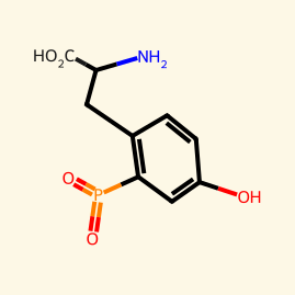 NC(Cc1ccc(O)cc1P(=O)=O)C(=O)O